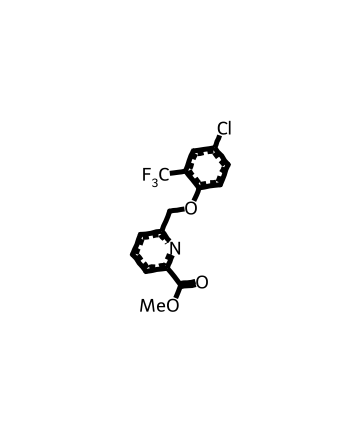 COC(=O)c1cccc(COc2ccc(Cl)cc2C(F)(F)F)n1